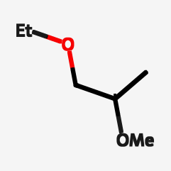 CCOC[C](C)OC